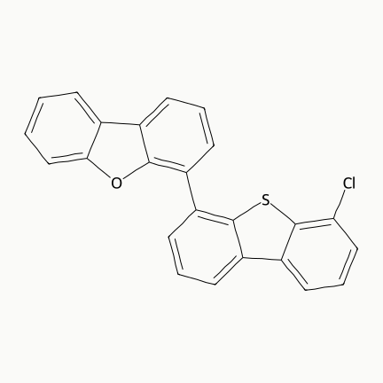 Clc1cccc2c1sc1c(-c3cccc4c3oc3ccccc34)cccc12